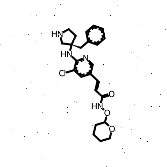 O=C(/C=C/c1cnc(N[C@@]2(Cc3ccccc3)CCNC2)c(Cl)c1)NOC1CCCCO1